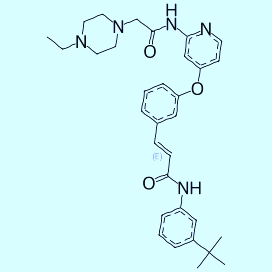 CCN1CCN(CC(=O)Nc2cc(Oc3cccc(/C=C/C(=O)Nc4cccc(C(C)(C)C)c4)c3)ccn2)CC1